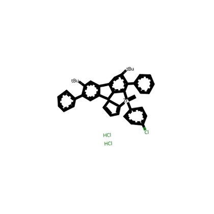 Cl.Cl.[CH2]=[Zr]([C]1=CC=CC1)([c]1ccc(Cl)cc1)[c]1c2c(cc(C(C)(C)C)c1-c1ccccc1)-c1cc(C(C)(C)C)c(-c3ccccc3)cc1C2